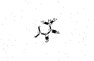 CP(C)P(#P)P(#N)[SH](=S)=S